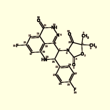 CC1(C)OC(=O)N(C2c3n[nH]c(=O)c4cc(F)cc(c34)NC2c2ccc(F)cc2)C1=O